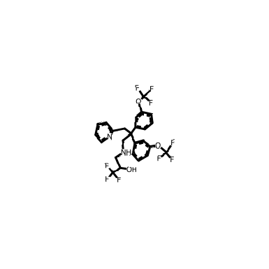 OC(CNCC(Cc1ccccn1)(c1cccc(OC(F)(F)F)c1)c1cccc(OC(F)(F)F)c1)C(F)(F)F